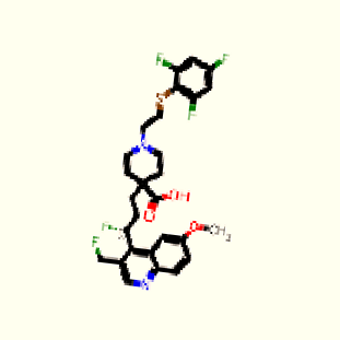 COc1ccc2ncc(CF)c([C@H](F)CCC3(C(=O)O)CCN(CCSc4c(F)cc(F)cc4F)CC3)c2c1